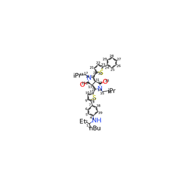 CCCCC(CC)Nc1ccc(-c2ccc(C3=C4C(=O)N(CC(C)C)C(c5ccc(-c6ccccc6)s5)=C4C(=O)N3CC(C)C)s2)cc1